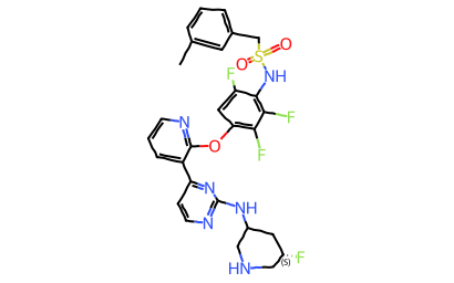 Cc1cccc(CS(=O)(=O)Nc2c(F)cc(Oc3ncccc3-c3ccnc(NC4CNC[C@@H](F)C4)n3)c(F)c2F)c1